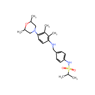 Cc1c(NCc2ccc(NS(=O)(=O)C(C)C)cc2)ccc(N2CC(C)OC(C)C2)c1C